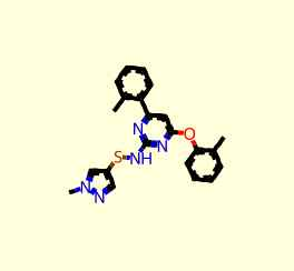 Cc1ccccc1Oc1cc(-c2ccccc2C)nc(NSc2cnn(C)c2)n1